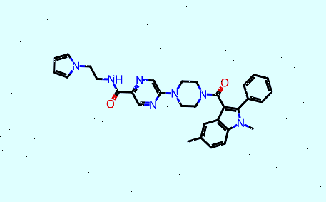 Cc1ccc2c(c1)c(C(=O)N1CCN(c3cnc(C(=O)NCCn4cccc4)cn3)CC1)c(-c1ccccc1)n2C